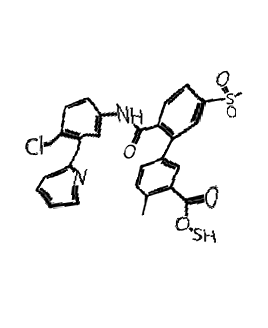 Cc1ccc(-c2cc(S(C)(=O)=O)ccc2C(=O)Nc2ccc(Cl)c(-c3ccccn3)c2)cc1C(=O)OS